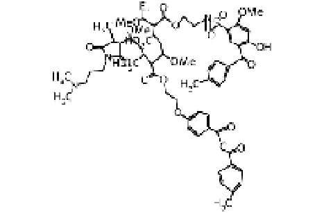 CCC(OC)C(C(=O)OCCNS(=O)(=O)c1cc(C(=O)c2ccc(C)cc2)c(O)cc1OC)C(CC(OC)C(C(=O)OCCOc1ccc(C(=O)CC(=O)c2ccc(C)cc2)cc1)C(CC(OC)C1C(=O)N(CCCN(C)C)C(=O)C1C)C(=O)O)C(=O)O